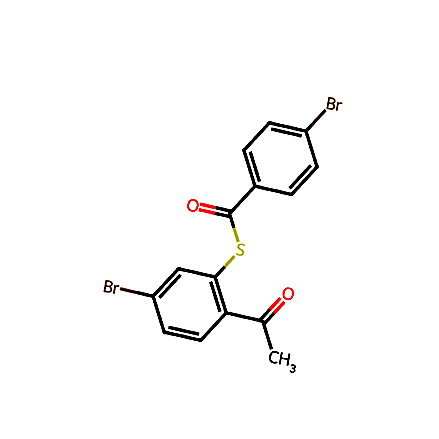 CC(=O)c1ccc(Br)cc1SC(=O)c1ccc(Br)cc1